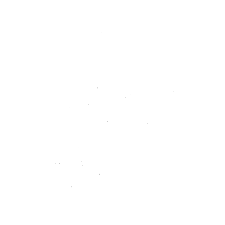 CC1(C)CC(c2ccc(S(C)(=O)=O)cc2)=C(c2ccccc2F)C1